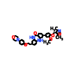 COc1cc(-c2ccc3c(c2)Nc2ccc(CCOc4ccc(N5CCOCC5)cc4)cc2NC3=O)ccc1OCc1c(C)noc1C